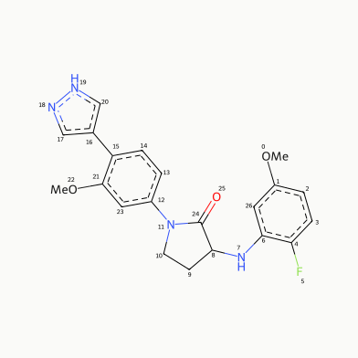 COc1ccc(F)c(NC2CCN(c3ccc(-c4cn[nH]c4)c(OC)c3)C2=O)c1